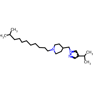 CC(C)CCCCCCCCCN1CCC(Cn2cc(C(C)C)cn2)CC1